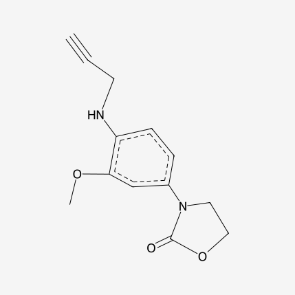 C#CCNc1ccc(N2CCOC2=O)cc1OC